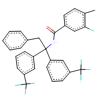 Cc1ccc(C(=O)NC(Cc2ccccc2)(c2cccc(C(F)(F)F)c2)c2cccc(C(F)(F)F)c2)cc1F